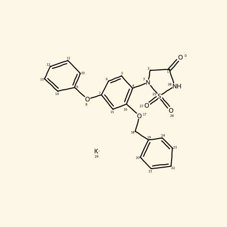 O=C1CN(c2ccc(Oc3ccccc3)cc2OCc2ccccc2)S(=O)(=O)N1.[K]